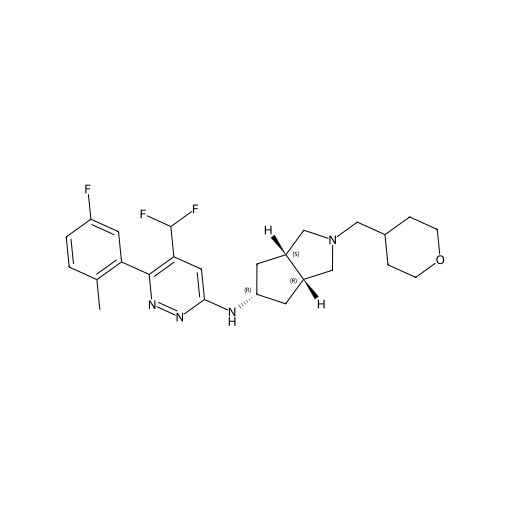 Cc1ccc(F)cc1-c1nnc(N[C@@H]2C[C@@H]3CN(CC4CCOCC4)C[C@@H]3C2)cc1C(F)F